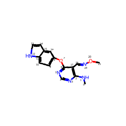 CNc1ncnc(Oc2ccc3[nH]ccc3c2)c1/C=N/OC